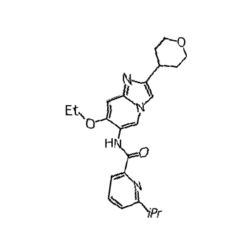 CCOc1cc2nc(C3CCOCC3)cn2cc1NC(=O)c1cccc(C(C)C)n1